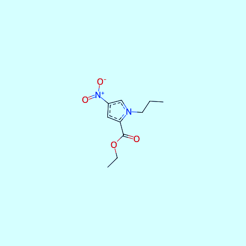 CCCn1cc([N+](=O)[O-])cc1C(=O)OCC